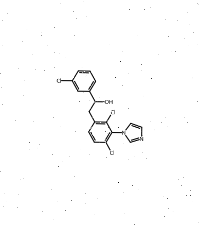 OC(Cc1ccc(Cl)c(-n2ccnc2)c1Cl)c1cccc(Cl)c1